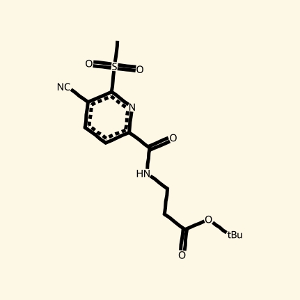 CC(C)(C)OC(=O)CCNC(=O)c1ccc(C#N)c(S(C)(=O)=O)n1